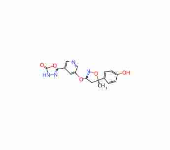 C[C@@]1(c2ccc(O)cc2)CC(Oc2cncc(-c3n[nH]c(=O)o3)c2)=NO1